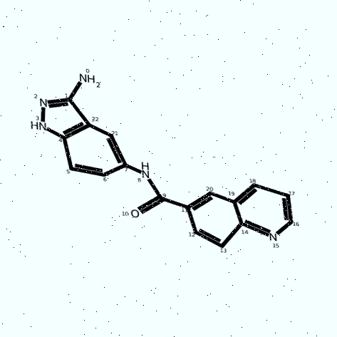 Nc1n[nH]c2ccc(NC(=O)c3ccc4ncccc4c3)cc12